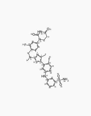 Cc1nc(N(C)Cc2ccc(N3CCC(=O)NC3=O)cc2F)sc1-c1nc(Nc2cccc(S(N)(=O)=O)c2)ncc1F